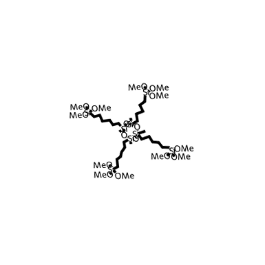 CO[Si](CCCCCC[Si]1(C)O[Si](C)(CCCCCC[Si](OC)(OC)OC)O[Si](C)(CCCCCC[Si](OC)(OC)OC)O[Si](C)(CCCCCC[Si](OC)(OC)OC)O1)(OC)OC